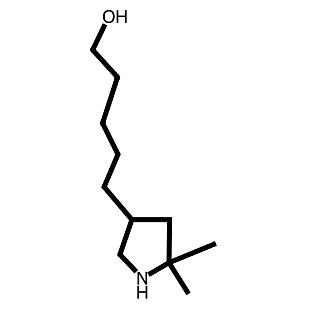 CC1(C)CC(CCCCCO)CN1